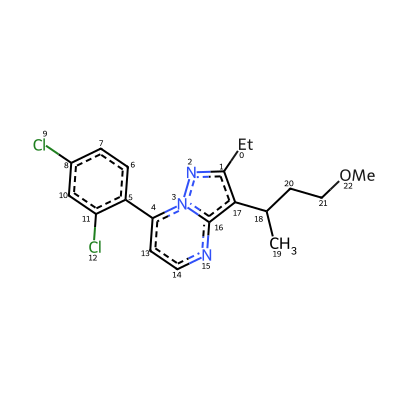 CCc1nn2c(-c3ccc(Cl)cc3Cl)ccnc2c1C(C)CCOC